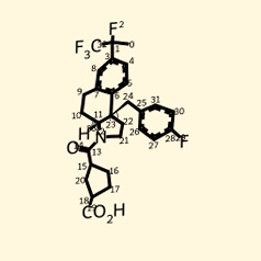 CC(F)(c1ccc2c(c1)CC[C@H]1N(C(=O)C3CCC(C(=O)O)C3)CC[C@@]21Cc1ccc(F)cc1)C(F)(F)F